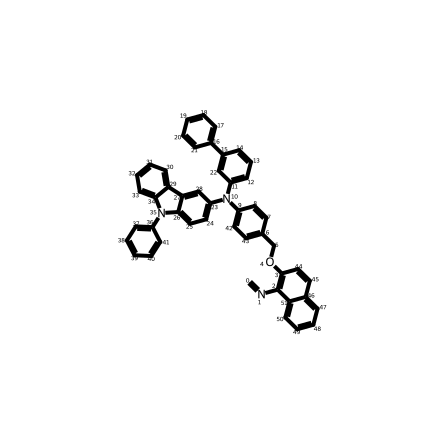 C=Nc1c(OCc2ccc(N(c3cccc(-c4ccccc4)c3)c3ccc4c(c3)c3ccccc3n4-c3ccccc3)cc2)ccc2ccccc12